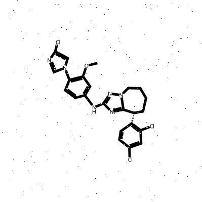 COc1cc(Nc2nc3n(n2)CCCC[C@@H]3c2ccc(Cl)cc2Cl)ccc1-n1cnc(Cl)c1